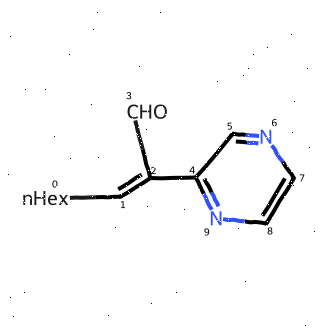 CCCCCCC=C(C=O)c1cnccn1